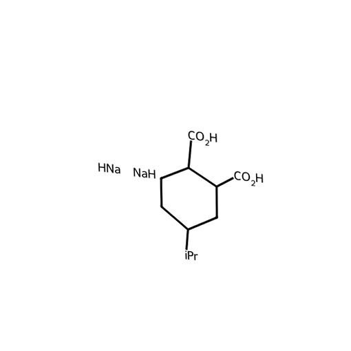 CC(C)C1CCC(C(=O)O)C(C(=O)O)C1.[NaH].[NaH]